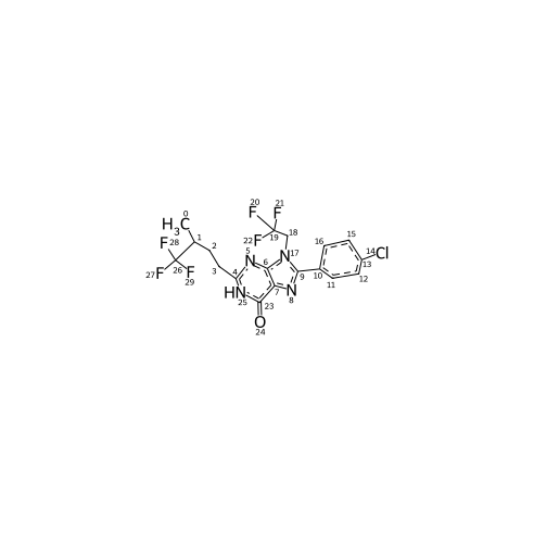 CC(CCc1nc2c(nc(-c3ccc(Cl)cc3)n2CC(F)(F)F)c(=O)[nH]1)C(F)(F)F